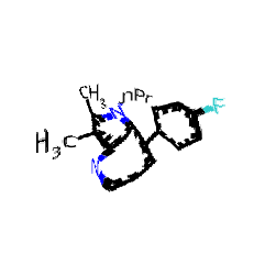 CCCn1c(C)c(C)c2nccc(-c3ccc(F)cc3)c21